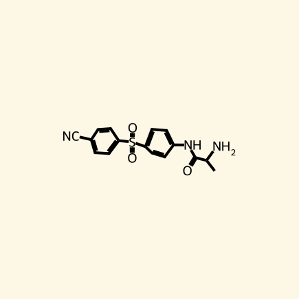 CC(N)C(=O)Nc1ccc(S(=O)(=O)c2ccc(C#N)cc2)cc1